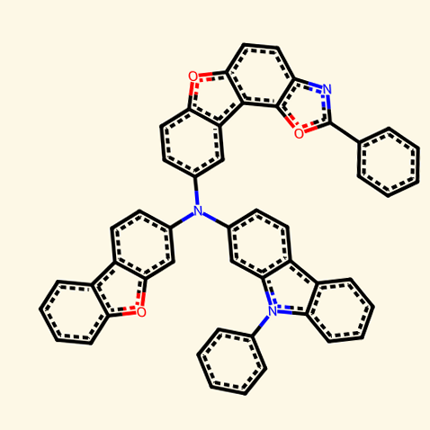 c1ccc(-c2nc3ccc4oc5ccc(N(c6ccc7c(c6)oc6ccccc67)c6ccc7c8ccccc8n(-c8ccccc8)c7c6)cc5c4c3o2)cc1